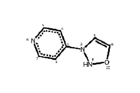 [C]1=CN(c2ccncc2)NO1